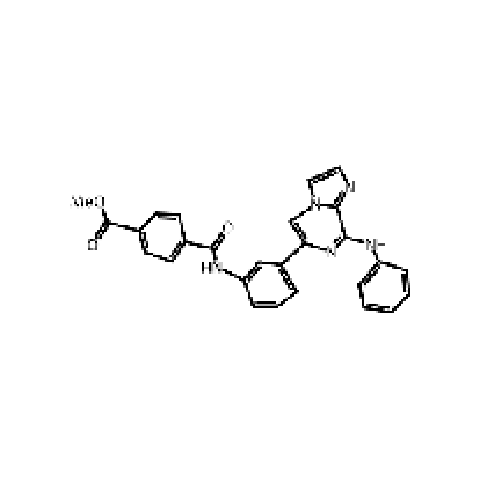 COC(=O)c1ccc(C(=O)Nc2cccc(-c3cn4ccnc4c(Nc4ccccc4)n3)c2)cc1